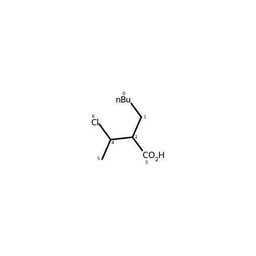 CCCCCC(C(=O)O)C(C)Cl